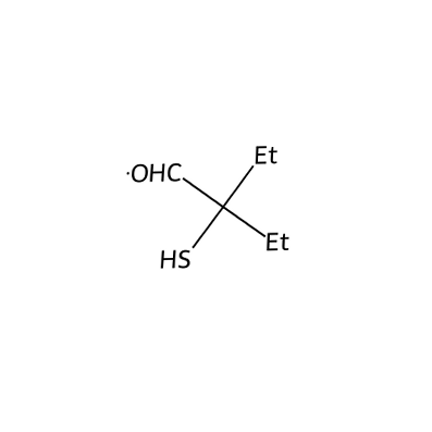 CCC(S)([C]=O)CC